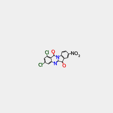 O=C1c2cc([N+](=O)[O-])ccc2-n2c1nc1cc(Cl)cc(Cl)c1c2=O